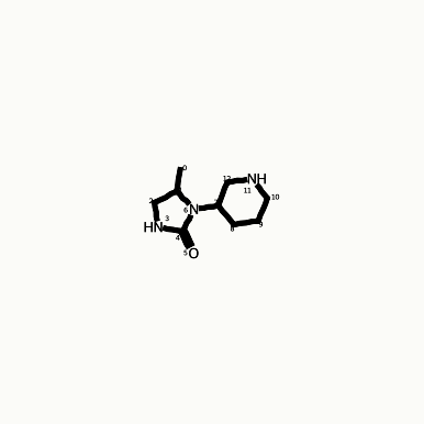 CC1CNC(=O)N1C1CCCNC1